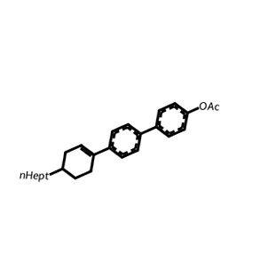 CCCCCCCC1CC=C(c2ccc(-c3ccc(OC(C)=O)cc3)cc2)CC1